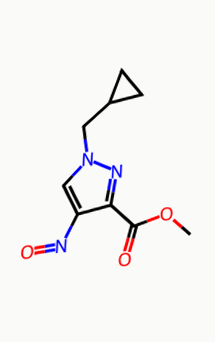 COC(=O)c1nn(CC2CC2)cc1N=O